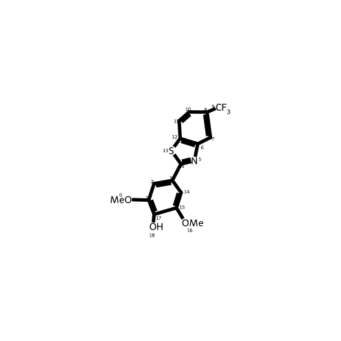 COc1cc(-c2nc3cc(C(F)(F)F)ccc3s2)cc(OC)c1O